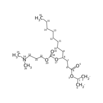 [CH2]C([CH2])OC(=O)CCC(CCCCCCCC)OC(=O)OCCCN(C)C